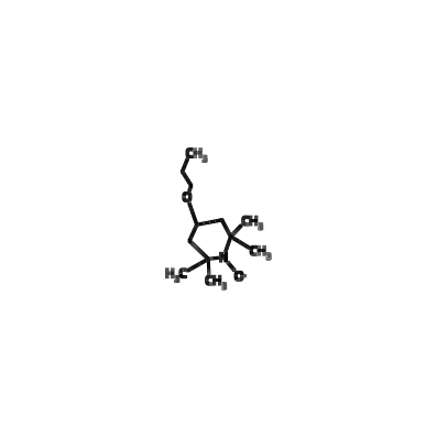 CCCOC1CC(C)(C)N([O])C(C)(C)C1